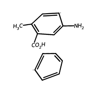 Cc1c[c]c(N)cc1C(=O)O.[c]1ccccc1